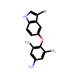 CC(C)c1c[nH]c2ccc(Oc3c(C(F)(F)F)cc(N)cc3C(F)(F)F)cc12